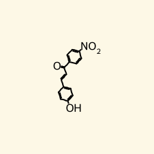 O=C(/C=C/c1ccc(O)cc1)c1ccc([N+](=O)[O-])cc1